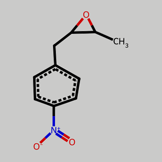 CC1OC1Cc1ccc([N+](=O)[O-])cc1